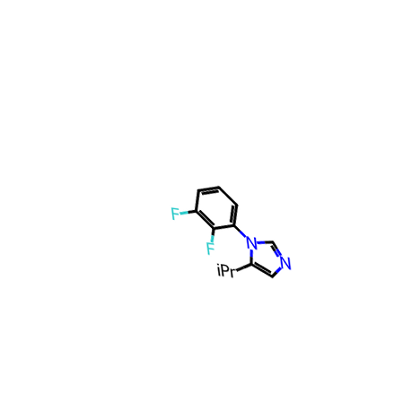 CC(C)c1cncn1-c1cccc(F)c1F